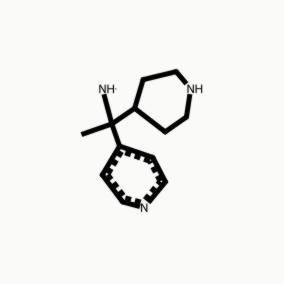 CC([NH])(c1ccncc1)C1CCNCC1